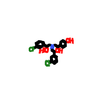 Oc1ccc(CCN(CC(O)c2cccc(Cl)c2)CC(O)c2cccc(Cl)c2)cc1